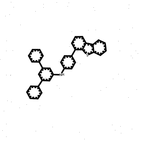 c1ccc(-c2cc(Nc3ccc(-c4cccc5c4sc4ccccc45)cc3)cc(-c3ccccc3)c2)cc1